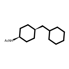 CC(=O)N[C@H]1CC[C@@H](CC2CCCCC2)CC1